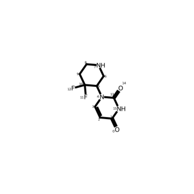 O=c1ccn(C2CNCCC2(F)F)c(=O)[nH]1